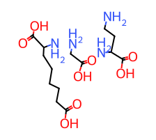 NC(CCCCCC(=O)O)C(=O)O.NCC(=O)O.NCCC(N)C(=O)O